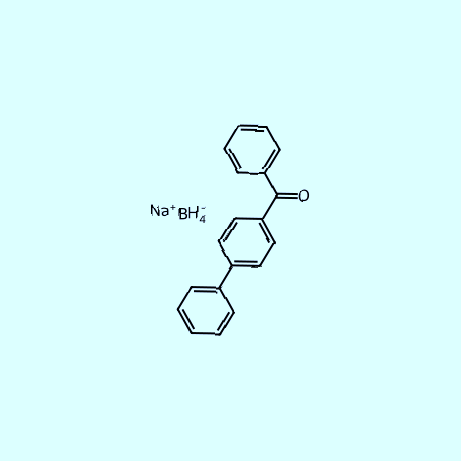 O=C(c1ccccc1)c1ccc(-c2ccccc2)cc1.[BH4-].[Na+]